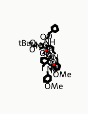 COc1ccc(CN(Cc2ccc(OC)cc2)S(=O)(=O)c2c(S(=O)(=O)N[C@@H]3CN(C(=O)OC(C)(C)C)C[C@@H]3NC(=O)OCc3ccccc3)ccc(I)c2-c2nnnn2Cc2ccc(OC)cc2)cc1